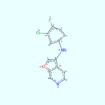 Fc1ccc(Nc2coc3cnccc23)cc1Cl